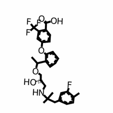 Cc1ccc(CC(C)(C)NC[C@H](O)COC(C)c2ccccc2Oc2ccc(C(=O)O)c(C(F)(F)F)c2)cc1F